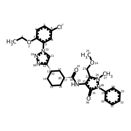 CCOc1ccc(Cl)cc1-n1cc([C@H]2CCC[C@@H](C(=O)Nc3c(COC)n(C)n(-c4ccccc4)c3=O)C2)nn1